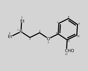 CCN(CC)CCOc1ccccc1C=O